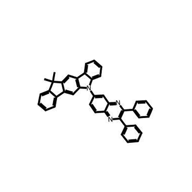 CC1(C)c2ccccc2-c2cc3c(cc21)c1ccccc1n3-c1ccc2nc(-c3ccccc3)c(-c3ccccc3)nc2c1